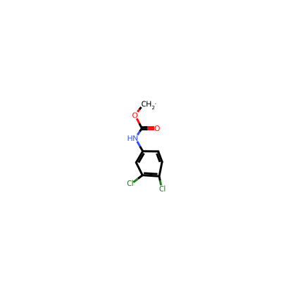 [CH2]OC(=O)Nc1ccc(Cl)c(Cl)c1